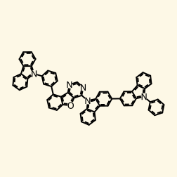 c1ccc(-n2c3ccccc3c3cc(-c4ccc5c(c4)c4ccccc4n5-c4ncnc5c4oc4cccc(-c6cccc(-n7c8ccccc8c8ccccc87)c6)c45)ccc32)cc1